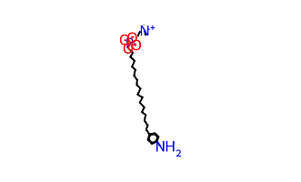 C[N+](C)(C)CCOP(=O)([O-])OCCCCCCCCCCCCCCCCCCc1ccc(N)cc1